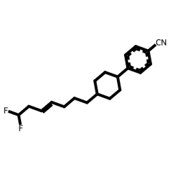 N#Cc1ccc(C2CCC(CCCC=CCC(F)F)CC2)cc1